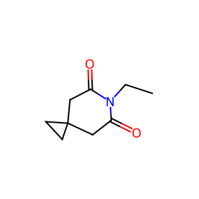 CCN1C(=O)CC2(CC2)CC1=O